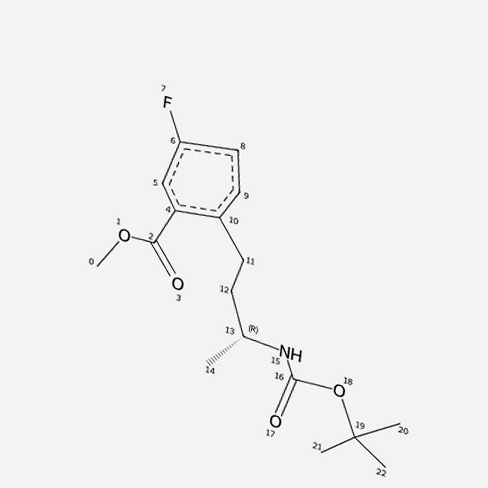 COC(=O)c1cc(F)ccc1CC[C@@H](C)NC(=O)OC(C)(C)C